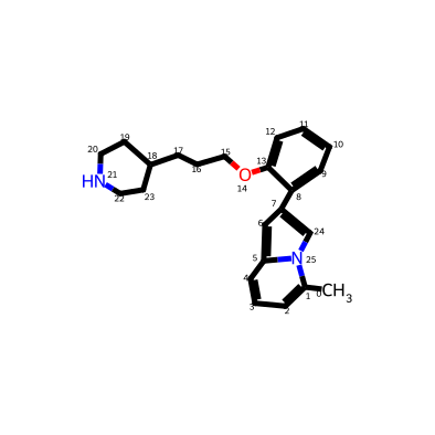 Cc1cccc2cc(-c3ccccc3OCCCC3CCNCC3)cn12